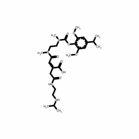 COc1cc(C(C)C)cc(OC)c1OC(=O)N(C)CCN(C)C(=O)/C=C(/CC(=O)NCCNC(C)C)C(=O)O